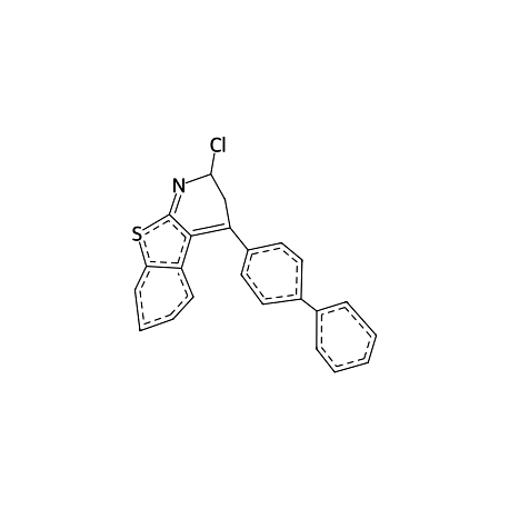 ClC1CC(c2ccc(-c3ccccc3)cc2)=c2c(sc3ccccc23)=N1